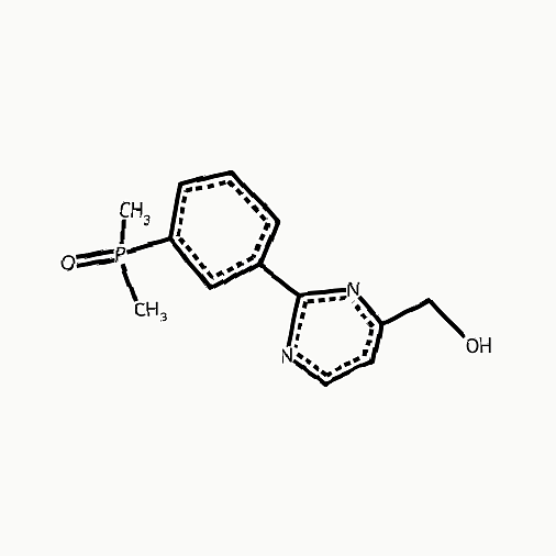 CP(C)(=O)c1cccc(-c2nccc(CO)n2)c1